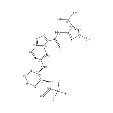 Cn1cc(NC(=O)c2ccc3cnc(N[C@@H]4CCCC[C@@H]4OC(=O)C(F)(F)F)nn23)c(C(F)F)n1